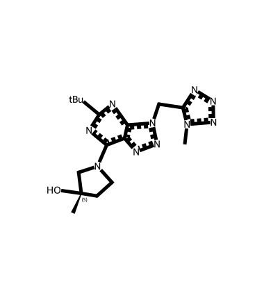 Cn1nnnc1Cn1nnc2c(N3CC[C@](C)(O)C3)nc(C(C)(C)C)nc21